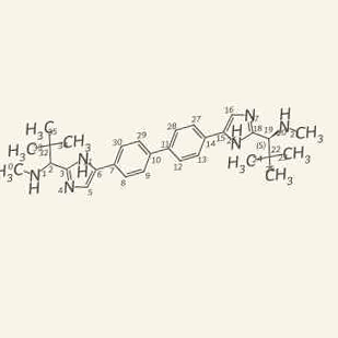 CNC(c1ncc(-c2ccc(-c3ccc(-c4cnc([C@@H](NC)C(C)(C)C)[nH]4)cc3)cc2)[nH]1)C(C)(C)C